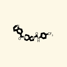 O=C(Nc1ccc(C(F)(F)F)cc1)N1CCC2(CCN(C(=O)c3ccc4ncccc4c3)CC2)C1